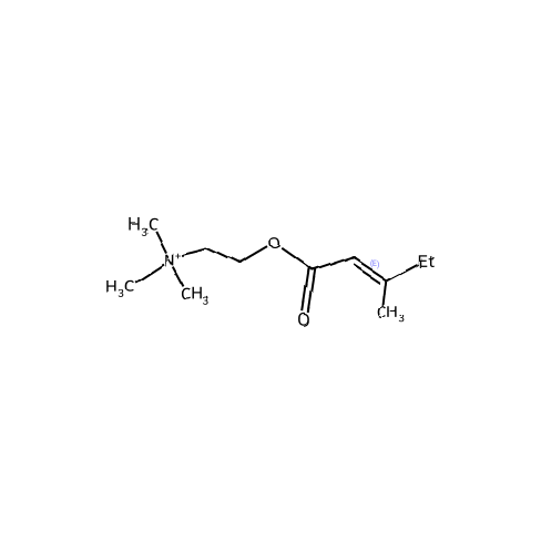 CC/C(C)=C/C(=O)OCC[N+](C)(C)C